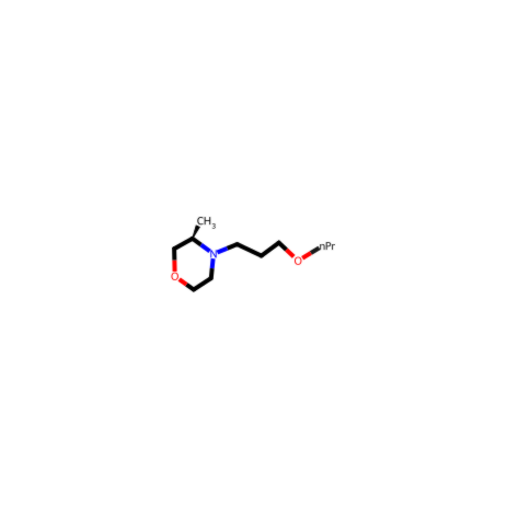 CCCOCCCN1CCOC[C@H]1C